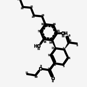 C=C(C)[C@@H]1CCC(C(=O)OCC)=C[C@H]1c1c(O)cc(CCCCC)cc1O